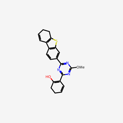 COc1nc(C2=C(O)CCC=C2)nc(-c2ccc3c4c(sc3c2)CCC=C4)n1